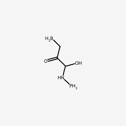 BCC(=O)C(O)NP